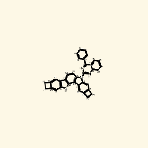 c1ccc(-c2nc(-n3c4cc5c(cc4c4c6sc7cc8c(cc7c6ccc43)CC8)CC5)nc3ccccc23)cc1